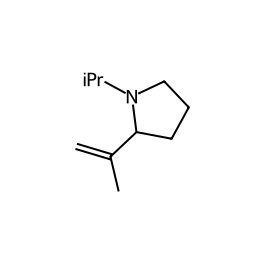 C=C(C)C1CCCN1C(C)C